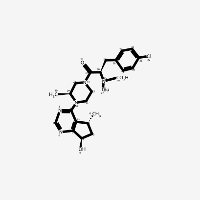 C[C@@H]1C[C@@H](O)c2ncnc(N3CCN(C(=O)[C@@H](Cc4ccc(Cl)cc4)N(C(=O)O)C(C)(C)C)C[C@@H]3C)c21